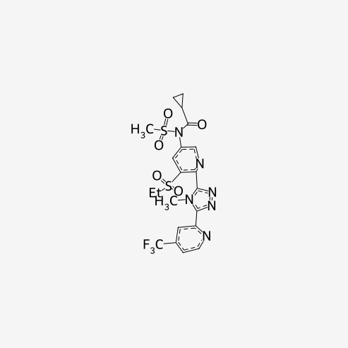 CCS(=O)(=O)c1cc(N(C(=O)C2CC2)S(C)(=O)=O)cnc1-c1nnc(-c2cc(C(F)(F)F)ccn2)n1C